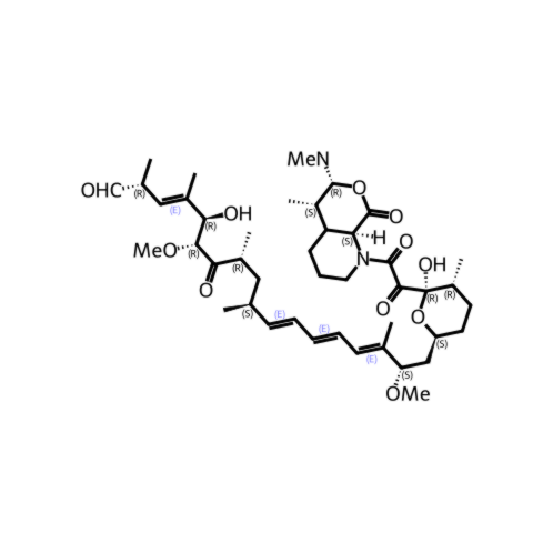 CN[C@@H]1OC(=O)[C@@H]2C(CCCN2C(=O)C(=O)[C@]2(O)O[C@H](C[C@H](OC)/C(C)=C/C=C/C=C/[C@@H](C)C[C@@H](C)C(=O)[C@H](OC)[C@H](O)/C(C)=C/[C@@H](C)C=O)CC[C@H]2C)[C@@H]1C